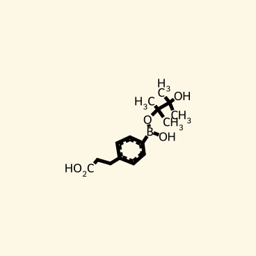 CC(C)(O)C(C)(C)OB(O)c1ccc(CCC(=O)O)cc1